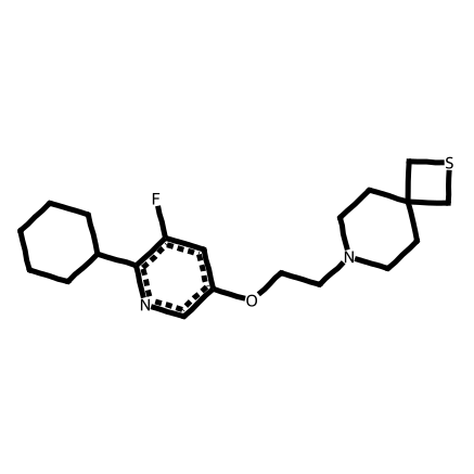 Fc1cc(OCCN2CCC3(CC2)CSC3)cnc1C1CCCCC1